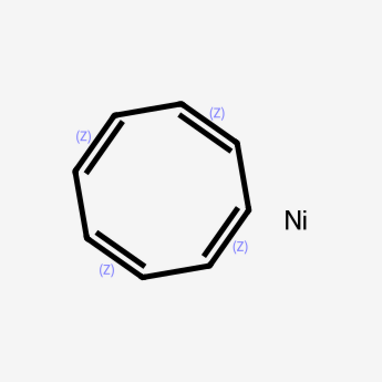 C1=C\C=C/C=C\C=C/1.[Ni]